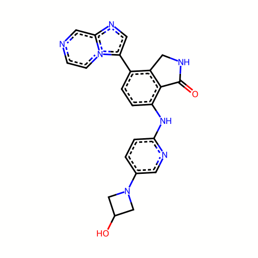 O=C1NCc2c(-c3cnc4cnccn34)ccc(Nc3ccc(N4CC(O)C4)cn3)c21